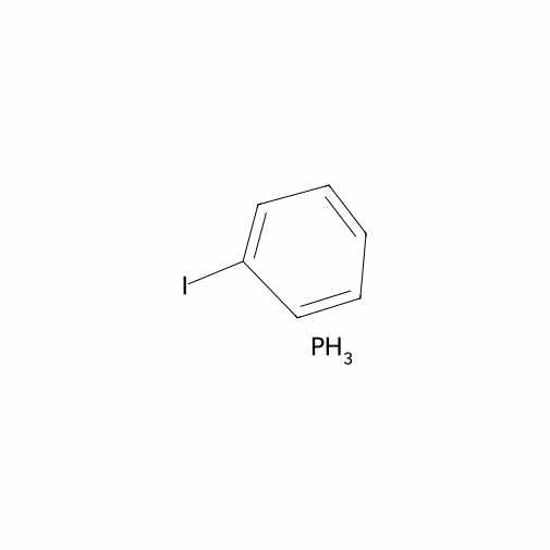 Ic1ccccc1.P